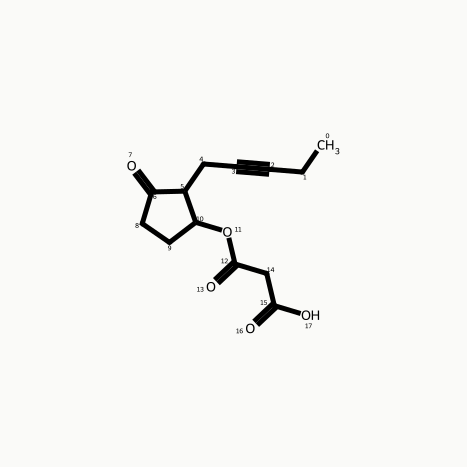 CCC#CCC1C(=O)CCC1OC(=O)CC(=O)O